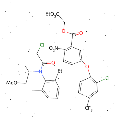 CCOC(=O)COC(=O)c1cc(Oc2ccc(C(F)(F)F)cc2Cl)ccc1[N+](=O)[O-].CCc1cccc(C)c1N(C(=O)CCl)C(C)COC